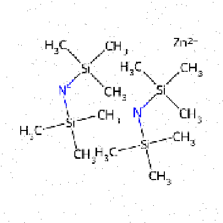 C[Si](C)(C)[N-][Si](C)(C)C.C[Si](C)(C)[N-][Si](C)(C)C.[Zn+2]